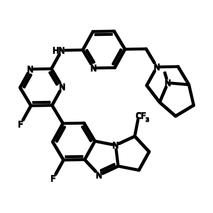 CN1C2CCC1CN(Cc1ccc(Nc3ncc(F)c(-c4cc(F)c5nc6n(c5c4)C(C(F)(F)F)CC6)n3)nc1)C2